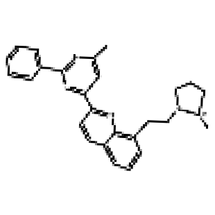 Cc1cc(-c2ccc3cccc(CCN4CCC[C@H]4C)c3n2)nc(-c2ccccc2)n1